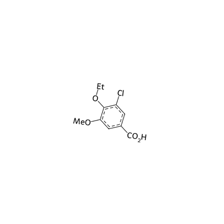 CCOc1c(Cl)cc(C(=O)O)cc1OC